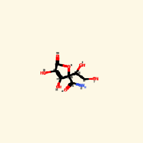 NC(=O)[C@]1([C@@H](O)CO)OC(=O)C(O)=C1O